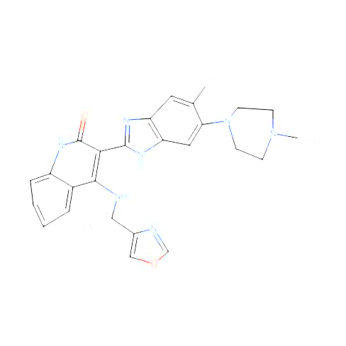 C[C@H](Nc1c(-c2nc3cc(C(F)(F)F)c(N4CCN(C)CC4)cc3[nH]2)c(=O)[nH]c2ccccc12)c1cocn1